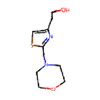 OCc1csc(N2CCOCC2)n1